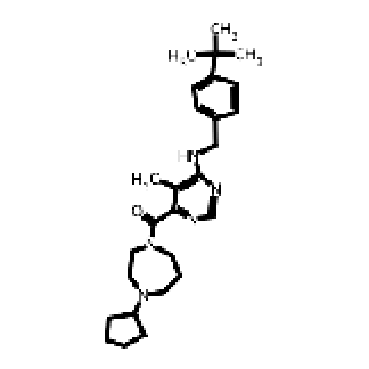 Cc1c(NCc2ccc(C(C)(C)C)cc2)ncnc1C(=O)N1CCCN(C2CCCC2)CC1